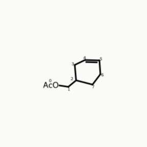 CC(=O)OCC1CC=CCC1